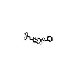 COC(=O)CCc1cc(C)n(CC(=O)OCc2ccccc2)n1